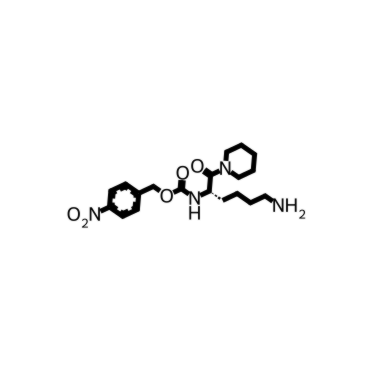 NCCCC[C@H](NC(=O)OCc1ccc([N+](=O)[O-])cc1)C(=O)N1CCCCC1